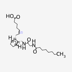 CCCCCCCC(=O)NCC(=O)NC[C@@H]1[C@@H]2CC[C@@H](C2)[C@@H]1C/C=C\CCCC(=O)O